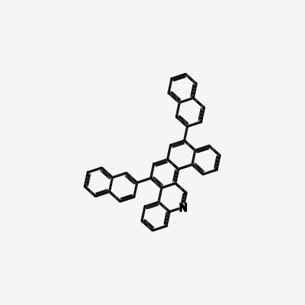 c1ccc2cc(-c3cc4cc(-c5ccc6ccccc6c5)c5c6ccccc6ncc5c4c4ccccc34)ccc2c1